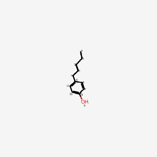 CCC[CH]Cc1ccc(O)cc1